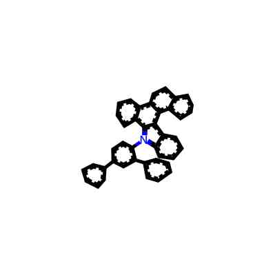 c1ccc(-c2ccc(-n3c4ccccc4c4c5c6ccccc6ccc5c5ccccc5c43)c(-c3ccccc3)c2)cc1